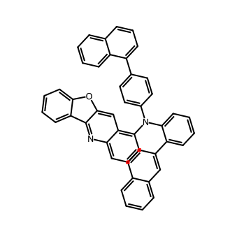 c1ccc(N(c2ccc(-c3cccc4ccccc34)cc2)c2cccc3nc4c(cc23)oc2ccccc24)c(-c2ccc3ccccc3c2)c1